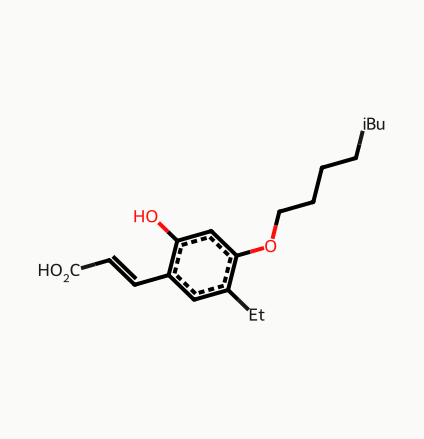 CCc1cc(/C=C/C(=O)O)c(O)cc1OCCCCC(C)CC